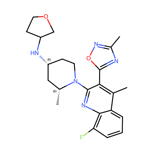 Cc1noc(-c2c(N3CC[C@@H](NC4CCOC4)C[C@H]3C)nc3c(F)cccc3c2C)n1